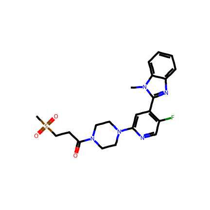 Cn1c(-c2cc(N3CCN(C(=O)CCS(C)(=O)=O)CC3)ncc2F)nc2ccccc21